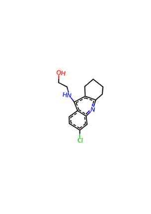 OCCNc1c2c(nc3cc(Cl)ccc13)CCCC2